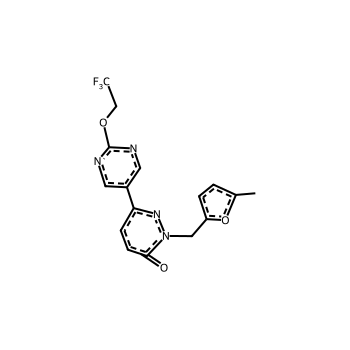 Cc1ccc(Cn2nc(-c3cnc(OCC(F)(F)F)nc3)ccc2=O)o1